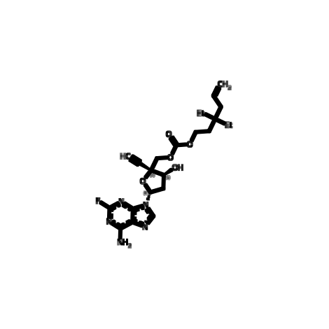 C#C[C@]1(COC(=O)OCCC(CC)(CC)CC=C)O[C@@H](n2cnc3c(N)nc(F)nc32)C[C@@H]1O